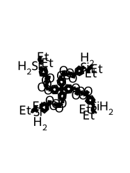 CC/C=C(\CC)[SiH2]c1ccc(C(=O)OOC(=O)OC2CCC(C(C3CCC(OC(=O)OOC(=O)c4ccc([SiH2]/C(=C/CC)CC)cc4)CC3)(C3CCC(OC(=O)OOC(=O)c4ccc([SiH2]/C(=C/CC)CC)cc4)CC3)C3CCC(OC(=O)OOC(=O)c4ccc([SiH2]/C(=C/CC)CC)cc4)CC3)CC2)cc1